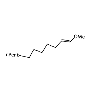 [CH2]O/C=C/CCCCCCCCCC